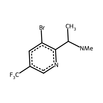 CNC(C)c1ncc(C(F)(F)F)cc1Br